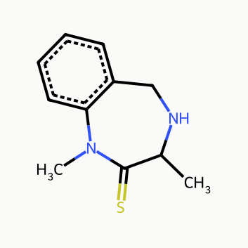 CC1NCc2ccccc2N(C)C1=S